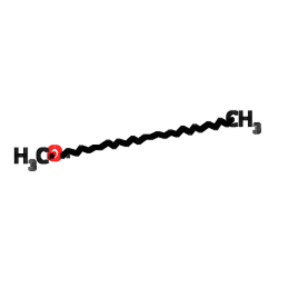 CCCCCCCCCCCCCCCCCCCCCCCCCCC[CH]OCC